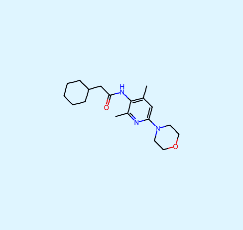 Cc1cc(N2CCOCC2)nc(C)c1NC(=O)CC1CCCCC1